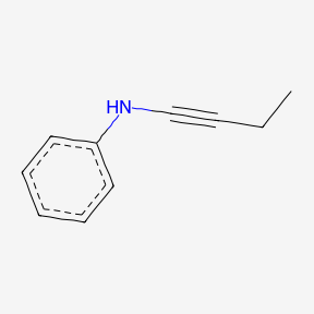 CCC#CNc1ccccc1